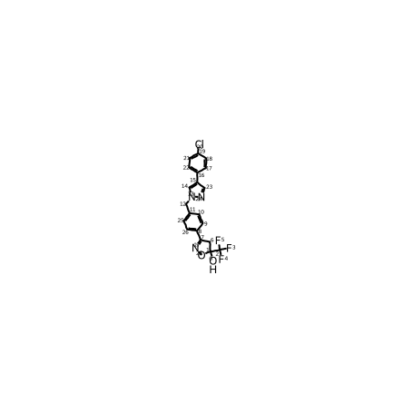 OC1(C(F)(F)F)CC(c2ccc(Cn3cc(-c4ccc(Cl)cc4)cn3)cc2)=NO1